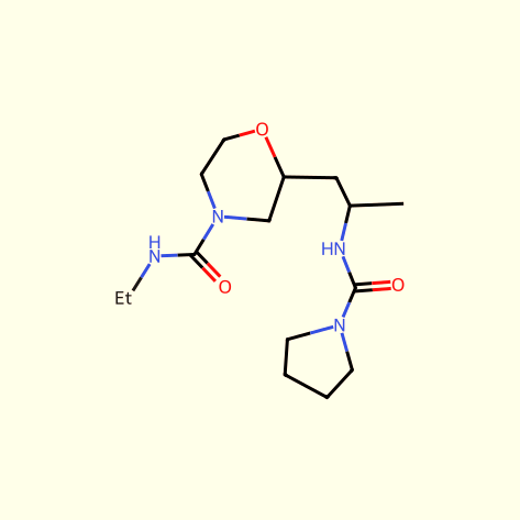 CCNC(=O)N1CCOC(CC(C)NC(=O)N2CCCC2)C1